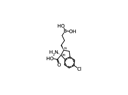 N[C@@]1(C(=O)O)c2ccc(Cl)cc2C[C@@H]1CCCB(O)O